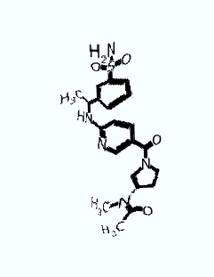 CC(=O)N(C)[C@H]1CCN(C(=O)c2ccc(N[C@@H](C)c3cccc(S(N)(=O)=O)c3)nc2)C1